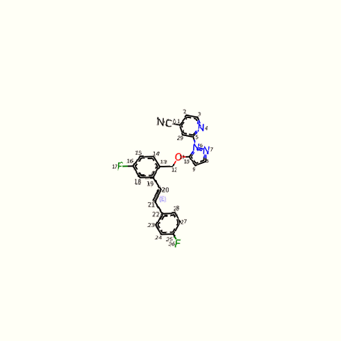 N#Cc1ccnc(-n2nccc2OCc2ccc(F)cc2/C=C/c2ccc(F)cc2)c1